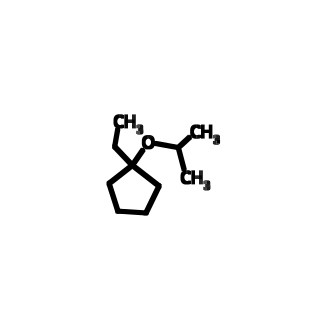 CCC1(OC(C)C)CCCC1